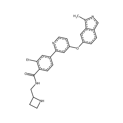 CCc1cc(-c2cc(Oc3ccc4cnn(C)c4c3)ccn2)ccc1C(=O)NCC1CCN1